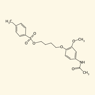 COc1cc(NC(C)=O)ccc1OCCCCOS(=O)(=O)c1ccc(C)cc1